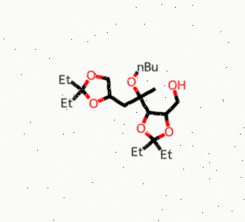 CCCCOC(C)(CC1COC(CC)(CC)O1)C1OC(CC)(CC)OC1CO